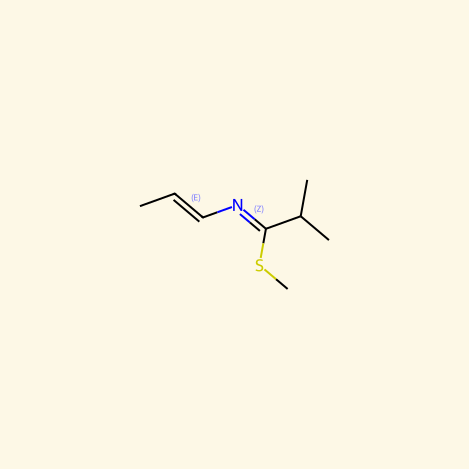 C/C=C/N=C(\SC)C(C)C